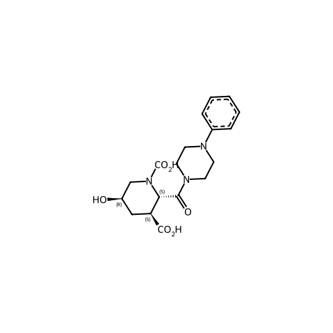 O=C(O)[C@H]1C[C@@H](O)CN(C(=O)O)[C@@H]1C(=O)N1CCN(c2ccccc2)CC1